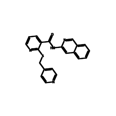 O=C(Nc1cc2ccccc2cn1)c1cccnc1SCc1ccncc1